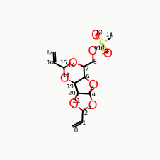 C=CC1OC2OC3C(COS(C)(=O)=O)OC(C=C)OC3C2O1